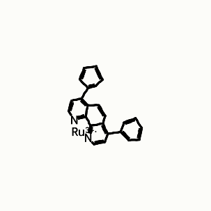 [Ru+3].c1ccc(-c2ccnc3c2ccc2c(-c4ccccc4)ccnc23)cc1